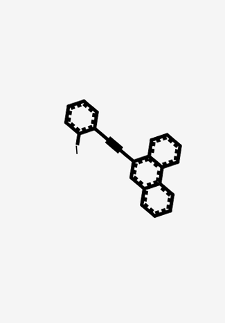 Ic1ccccc1C#Cc1cc2ccccc2c2ccccc12